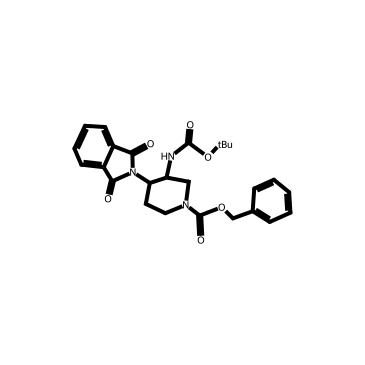 CC(C)(C)OC(=O)NC1CN(C(=O)OCc2ccccc2)CCC1N1C(=O)c2ccccc2C1=O